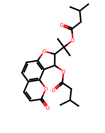 CC(C)CC(=O)OC1c2c(ccc3ccc(=O)oc23)OC1C(C)(C)OC(=O)CC(C)C